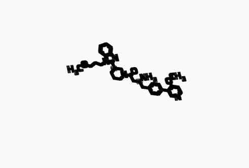 COCCCn1c([C@@H]2CCCN(C(=O)C[C@H](N)Cc3ccc(-c4cnccc4OC)cc3)C2)nc2ccccc21